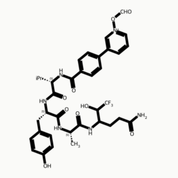 CC(C)[C@H](NC(=O)c1ccc(-c2ccc[n+](OC=O)c2)cc1)C(=O)N[C@@H](Cc1ccc(O)cc1)C(=O)N[C@@H](C)C(=O)NC(CCC(N)=O)C(O)C(F)(F)F